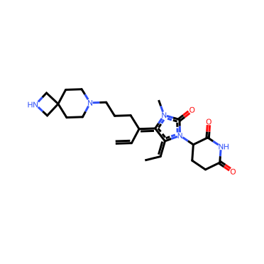 C=C/C(CCCN1CCC2(CC1)CNC2)=c1\c(=C/C)n(C2CCC(=O)NC2=O)c(=O)n1C